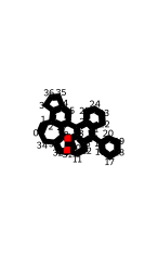 C1#Cc2c3c(cc(-c4c5ccccc5c(-c5ccccc5)c5ccccc45)c2-c2ccccc2C1)C=CC3